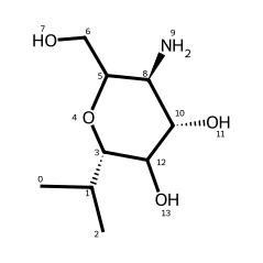 CC(C)[C@@H]1OC(CO)[C@@H](N)[C@H](O)C1O